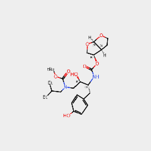 CCC(CC)CN(C[C@@H](O)[C@@H](Cc1ccc(O)cc1)NC(=O)O[C@H]1CO[C@H]2OCC[C@H]21)C(=O)OC(C)(C)C